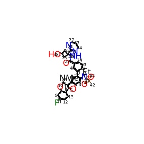 CCN(c1cc2oc(-c3ccc(F)cc3)c(C(=O)NC)c2cc1-c1cccc(C(=O)NC2(c3ncccn3)CC(O)C2)c1)S(C)(=O)=O